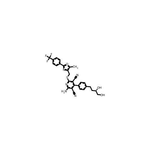 Cc1oc(-c2ccc(C(F)(F)F)cc2)nc1CSc1nc(N)c(C#N)c(-c2ccc(CC[C@@H](O)CO)cc2)c1C#N